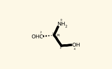 N[C@@H](C=O)CO